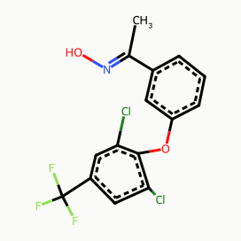 CC(=NO)c1cccc(Oc2c(Cl)cc(C(F)(F)F)cc2Cl)c1